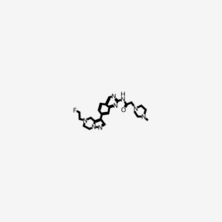 CN1CCN(CC(=O)Nc2ncc3ccc(-c4cnn5c4CN(CCF)CC5)cc3n2)CC1